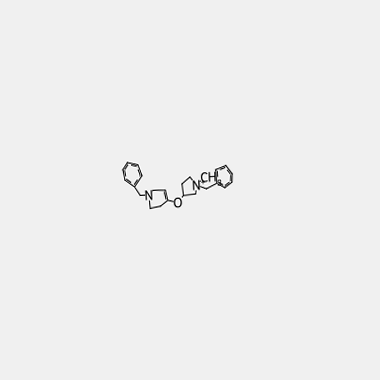 C[N+]1(Cc2ccccc2)CCC(OC2=CCN(Cc3ccccc3)CC2)C1